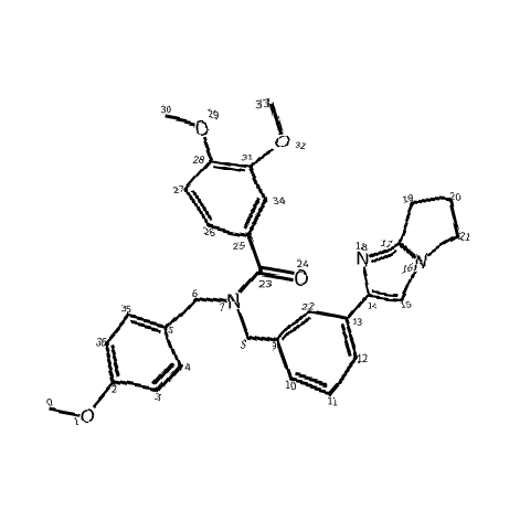 COc1ccc(CN(Cc2cccc(-c3cn4c(n3)CCC4)c2)C(=O)c2ccc(OC)c(OC)c2)cc1